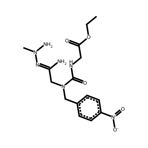 CCOC(=O)CNC(=O)N(C/C(N)=N/N(C)N)Cc1ccc([N+](=O)[O-])cc1